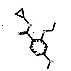 CCOc1cc(NC)ncc1C(=O)NC1CC1